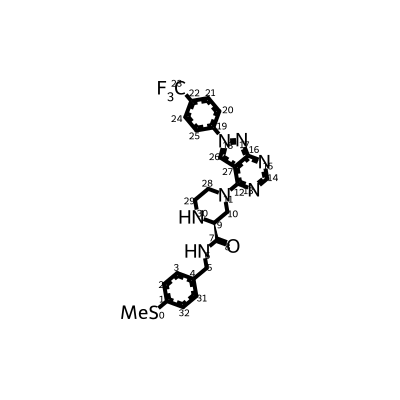 CSc1ccc(CNC(=O)[C@@H]2CN(c3ncnc4nn(-c5ccc(C(F)(F)F)cc5)cc34)CCN2)cc1